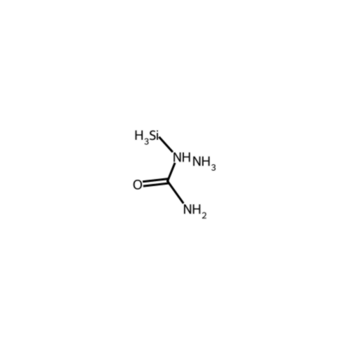 N.NC(=O)N[SiH3]